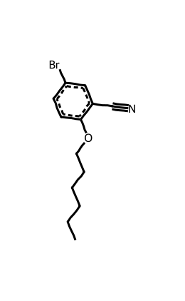 CCCCCCOc1ccc(Br)cc1C#N